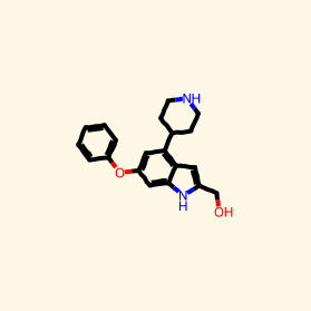 OCc1cc2c(C3CCNCC3)cc(Oc3ccccc3)cc2[nH]1